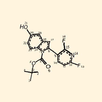 CC(C)(C)OC(=O)n1c(-c2ccc(F)nc2F)cc2cc(O)ccc21